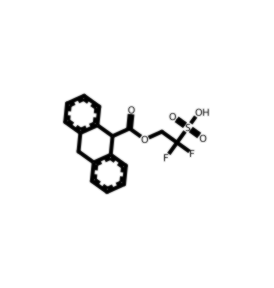 O=C(OCC(F)(F)S(=O)(=O)O)C1c2ccccc2Cc2ccccc21